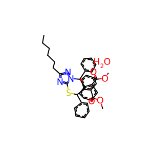 CCCCCCc1nc(SC(c2ccccc2)c2ccccc2C(=O)OC)n(C(c2ccccc2)c2ccccc2C(=O)OC)n1.O